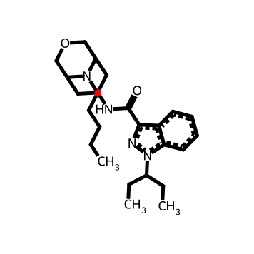 CCCCCN1C2COCC1CC(NC(=O)c1nn(C(CC)CC)c3ccccc13)C2